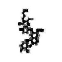 C=CC(=O)N(CCCO)C(=O)[C@@H]1C[C@@H](Oc2cc3c(Nc4ccc(F)c(Cl)c4F)ncnc3cc2OC)CCN1